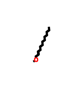 CCCCCCCCCCC=CCOC